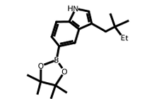 CCC(C)(C)Cc1c[nH]c2ccc(B3OC(C)(C)C(C)(C)O3)cc12